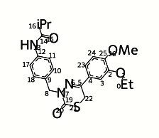 CCOc1cc(C2=NN(Cc3ccc(NC(=O)C(C)C)cc3)C(=O)SC2)ccc1OC